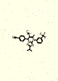 [C-]#[N+]C1=C(C)N(c2cccc(C(F)(F)F)c2)c2nc(C(C)C)nn2C1c1ccc(C#N)cc1